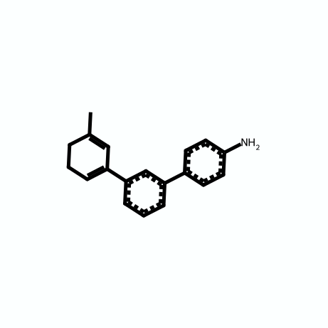 CC1=CC(c2cccc(-c3ccc(N)cc3)c2)=CCC1